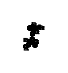 CCOc1ccc(N(c2ccccc2)c2ccc(-c3ccc(N(c4ccccc4)c4ccc(OCC)cc4OCC)c(CC)c3)cc2CC)c(OCC)c1